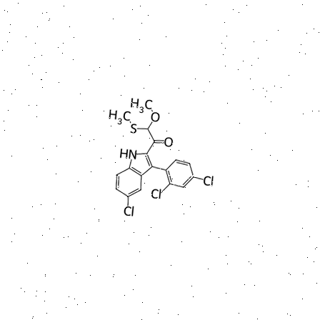 COC(SC)C(=O)c1[nH]c2ccc(Cl)cc2c1-c1ccc(Cl)cc1Cl